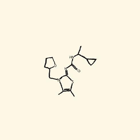 Cc1sc(=NC(=O)NC(C)C2CC2)n(CC2CCCO2)c1C